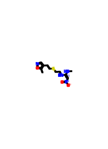 CN/C(=C/[N+](=O)[O-])NCCSCCc1cnoc1C